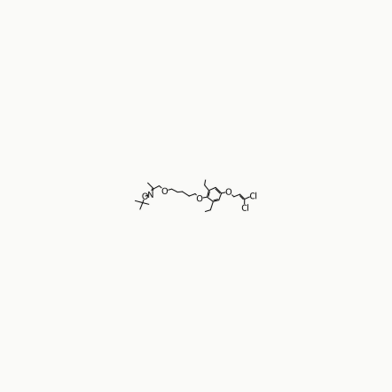 CCc1cc(OCC=C(Cl)Cl)cc(CC)c1OCCCCCOCC(C)=NOC(C)(C)C